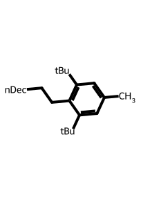 CCCCCCCCCCCCc1c(C(C)(C)C)cc(C)cc1C(C)(C)C